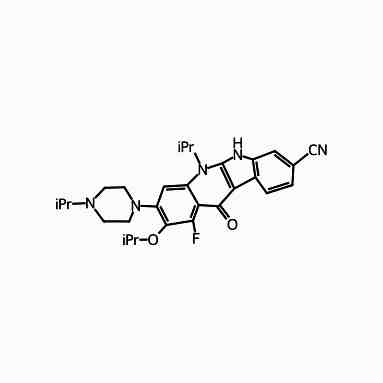 CC(C)Oc1c(N2CCN(C(C)C)CC2)cc2c(c1F)c(=O)c1c3ccc(C#N)cc3[nH]c1n2C(C)C